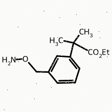 CCOC(=O)C(C)(C)c1cccc(CON)c1